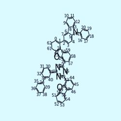 C1=C(c2ccc3c(c2)c2ccccc2n3-c2ccccc2)c2c(oc3c(-c4nc(-c5cccc(-c6ccccc6)c5)nc(-c5cccc6c5oc5ccccc56)n4)cccc23)CC1